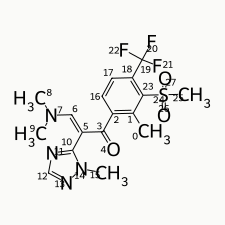 Cc1c(C(=O)/C(=C/N(C)C)c2ncnn2C)ccc(C(F)(F)F)c1S(C)(=O)=O